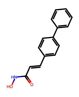 O=C(C=Cc1ccc(-c2ccccc2)cc1)NO